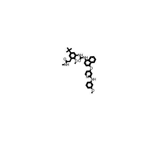 CNC(=O)Cc1cc(C(C)(C)C)cc(NC(=O)Nc2ccc(Oc3ccnc(Nc4cccc(OC)c4)c3)c3ccccc23)c1OC